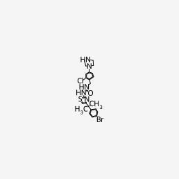 CC(C)(c1ccc(Br)cc1)c1csc(NC(=O)NCc2ccc(N3CCNCC3)cc2Cl)n1